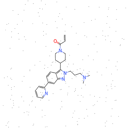 C=CC(=O)N1CCC(c2c3ccc(-c4ccccn4)cc3nn2CCCN(C)C)CC1